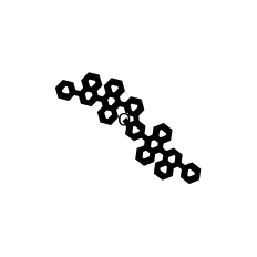 c1ccc(-c2ccc(-c3c4ccccc4c(-c4ccc5oc6c(-c7c8ccccc8c(-c8ccc(-c9ccccc9)c9ccccc89)c8ccccc78)cccc6c5c4)c4ccccc34)c3ccccc23)cc1